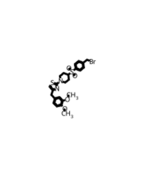 COc1ccc(Cc2csc(N3CCC(S(=O)(=O)c4ccc(CBr)cc4)CC3)n2)cc1OC